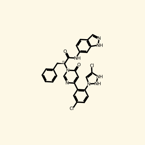 O=C(Nc1ccc2cn[nH]c2c1)[C@H](Cc1ccccc1)n1cnc(-c2cc(Cl)ccc2N2C=C(Cl)NN2)cc1=O